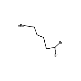 [CH2]CCCCCCCC(Br)Br